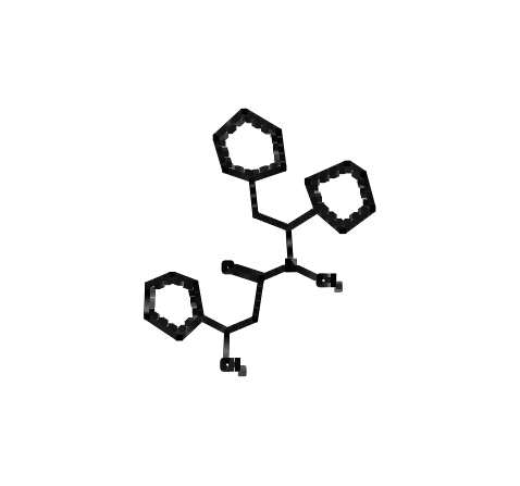 CC(CC(=O)N(C)C(Cc1ccccc1)c1ccccc1)c1ccccc1